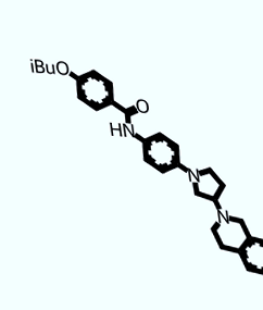 CC(C)COc1ccc(C(=O)Nc2ccc(N3CCC(N4CCc5ccccc5C4)C3)cc2)cc1